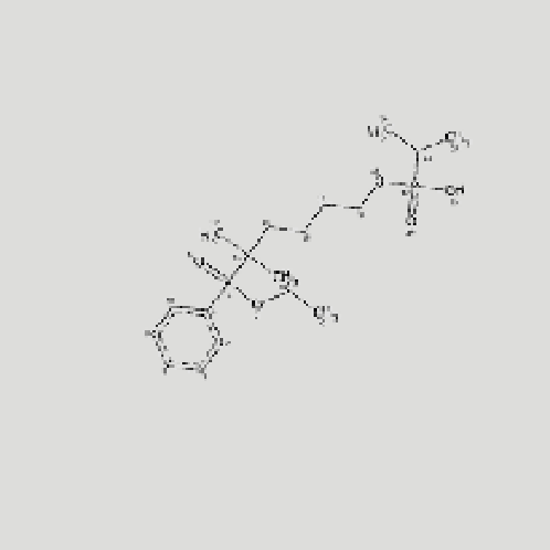 CCOP(=O)(c1ccccc1)C(C)(C)CCCCOP(=O)(O)C(C)C